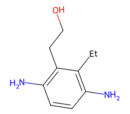 CCc1c(N)ccc(N)c1CCO